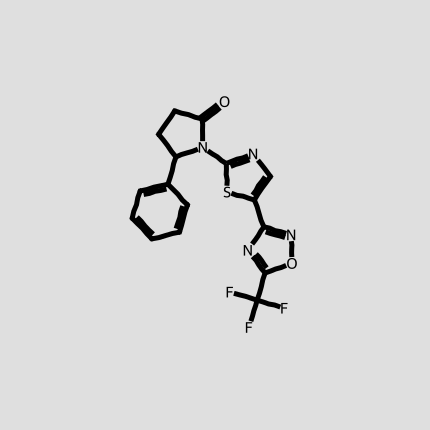 O=C1CCC(c2ccccc2)N1c1ncc(-c2noc(C(F)(F)F)n2)s1